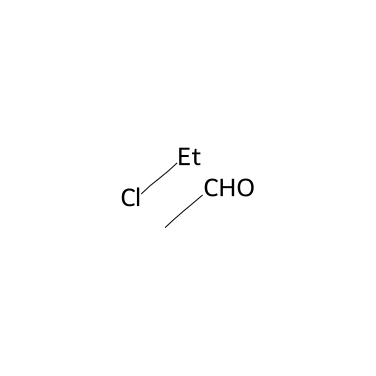 CC=O.CCCl